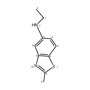 CCNc1ccc2sc(C)nc2c1